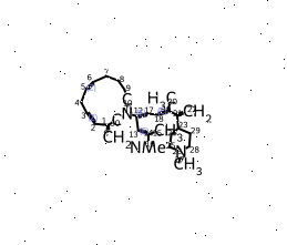 C=C1/C=C\C/C=C\CCCCN(C(/C=C(\C)NC)=C/C=C(\C)C(=C)C2CCN(C)CC2)C1